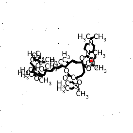 CCOC(C)OC1(C)CCC(O[Si](CC)(CC)CC)CC(=O)OC(/C(C)=C/C=C/C(C)(CC2OC2C(C)C(CC)O[Si](CC)(CC)CC)O[Si](CC)(CC)CC)C(C)/C=C/C1OC(=O)N1CCN(C(C)C)CC1